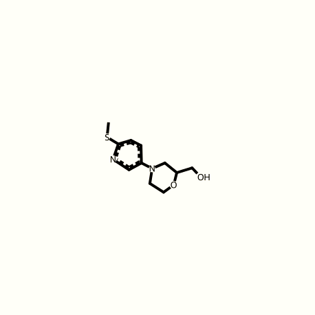 CSc1ccc(N2CCOC(CO)C2)cn1